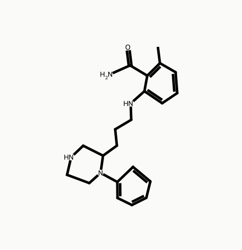 Cc1cccc(NCCCC2CNCCN2c2ccccc2)c1C(N)=O